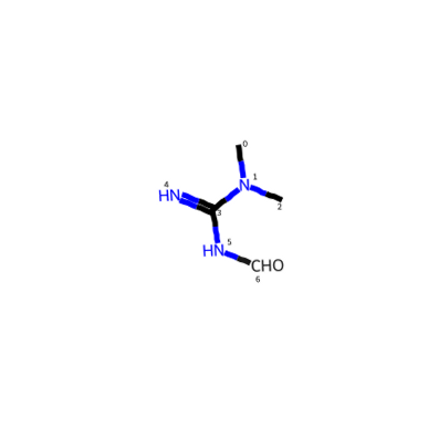 CN(C)C(=N)NC=O